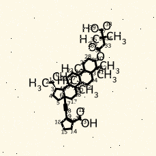 C=C(C)[C@@H]1CCC2(C#CC3=C(C(=O)O)CCC3)CC[C@]3(C)C(CCC4[C@@]5(C)CC[C@H](OC(=O)CC(C)(C)C(=O)O)C(C)(C)C5CC[C@]43C)C12